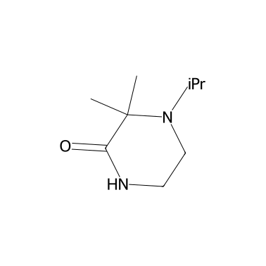 CC(C)N1CCNC(=O)C1(C)C